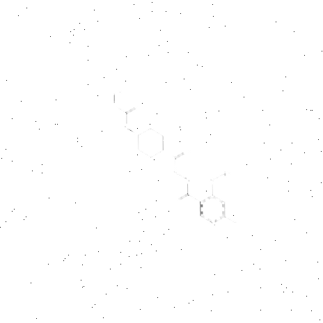 CC(C)Nc1cc(Cl)ncc1C(=O)NNC(=O)[C@H]1CC[C@H](NC(=O)OC(C)(C)C)CC1